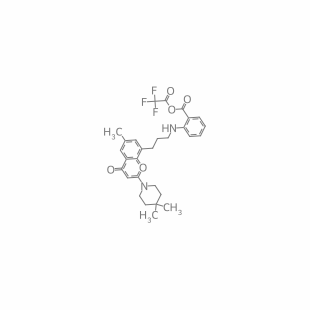 Cc1cc(CCCNc2ccccc2C(=O)OC(=O)C(F)(F)F)c2oc(N3CCC(C)(C)CC3)cc(=O)c2c1